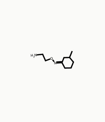 CC1CCC/C(=N/OCCN)C1